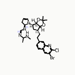 CNC(C)/N=C\N=C1/CC=CN1[C@@H]1C[C@H](CCc2ccc3cc(Br)c(Cl)nc3c2)[C@H]2OC(C)(C)O[C@H]21